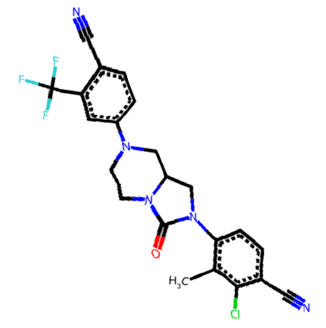 Cc1c(N2CC3CN(c4ccc(C#N)c(C(F)(F)F)c4)CCN3C2=O)ccc(C#N)c1Cl